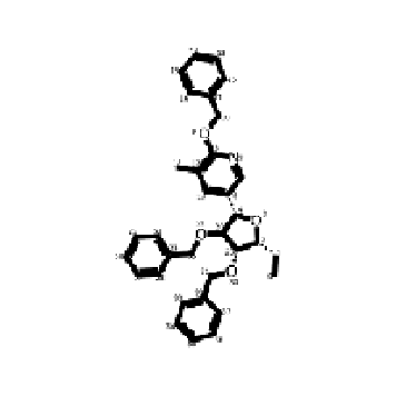 CC[C@H]1O[C@@H](c2cnc(OCc3ccccc3)c(C)c2)C(OCc2ccccc2)[C@H]1OCc1ccccc1